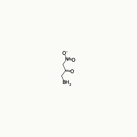 BCC(=O)C[N+](=O)[O-]